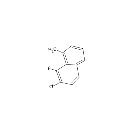 Cc1cccc2ccc(Cl)c(F)c12